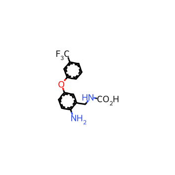 Nc1ccc(Oc2cccc(C(F)(F)F)c2)cc1CNC(=O)O